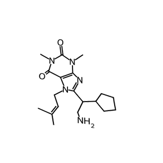 CC(C)=CCn1c(C(CN)C2CCCC2)nc2c1c(=O)n(C)c(=O)n2C